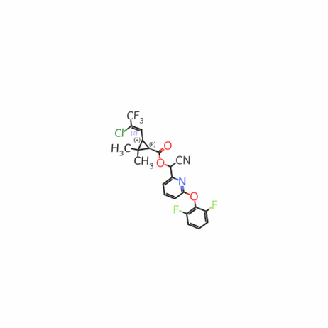 CC1(C)[C@H](C(=O)OC(C#N)c2cccc(Oc3c(F)cccc3F)n2)[C@@H]1/C=C(\Cl)C(F)(F)F